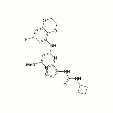 CNc1cc(Nc2cc(F)cc3c2OCCO3)nc2c(NC(=O)NC3CCC3)cnn12